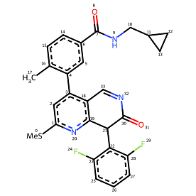 CSc1cc(-c2cc(C(=O)NCC3CC3)ccc2C)c2c(n1)C(c1c(F)cccc1F)C(=O)N=C2